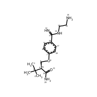 CC(C)(C)[C@@H](COc1ccc(C(=N)NCCN)cc1)C(N)=O